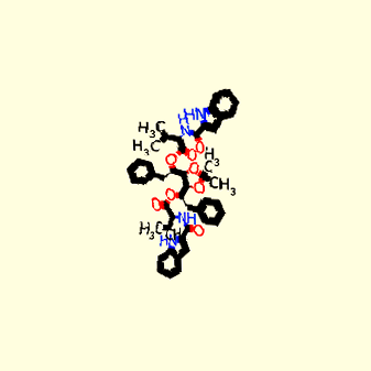 CC(C)[C@H](NC(=O)c1cc2ccccc2[nH]1)C(=O)O[C@@H](Cc1ccccc1)[C@H]1OC(C)(C)O[C@@H]1[C@H](Cc1ccccc1)OC(=O)[C@@H](NC(=O)c1cc2ccccc2[nH]1)C(C)C